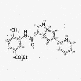 CCOC(=O)c1cnc(C)c(NC(=O)c2cnn3cc(-c4ccccn4)sc23)c1